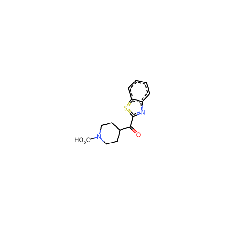 O=C(c1nc2ccccc2s1)C1CCN(C(=O)O)CC1